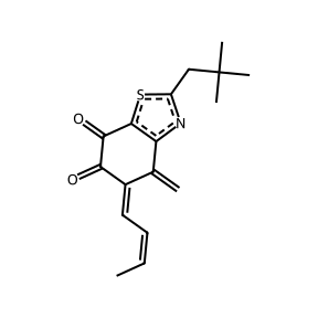 C=C1/C(=C\C=C/C)C(=O)C(=O)c2sc(CC(C)(C)C)nc21